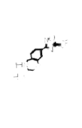 C[C@H]1COc2cc(-c3noc(C(F)(F)F)n3)ccc2CN1